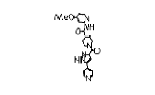 COc1ccnc(NC(=O)C2CCN(C(=O)c3cc(-c4ccncc4)[nH]n3)CC2)c1